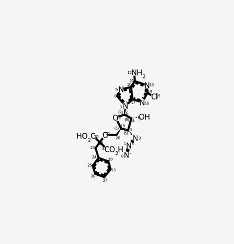 [N-]=[N+]=N[C@H]1[C@@H](O)[C@H](n2cnc3c(N)nc(Cl)nc32)O[C@@H]1COC(Cc1ccccc1)(C(=O)O)C(=O)O